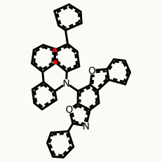 c1ccc(-c2ccc(N(c3ccccc3-c3ccccc3)c3c4oc(-c5ccccc5)nc4cc4c3oc3ccccc34)cc2)cc1